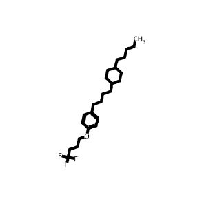 CCCCCC1CCC(CCCCc2ccc(OCCCC(F)(F)F)cc2)CC1